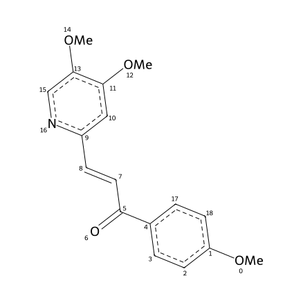 COc1ccc(C(=O)C=Cc2cc(OC)c(OC)cn2)cc1